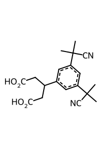 CC(C)(C#N)c1cc(C(CC(=O)O)CC(=O)O)cc(C(C)(C)C#N)c1